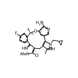 CN/C(Cl)=C1/C/C(C(C)=N)=C(/NCC2CC2)c2cnc(N)c(c2)O[C@H](C)c2cc(F)ccc2C1=N